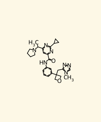 CC(c1cc(C(=O)Nc2cccc(C3(Cc4nncn4C)COC3)c2)nc(C2CC2)n1)N1CCCC1